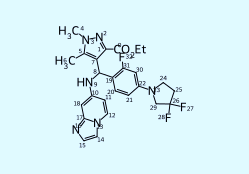 CCOC(=O)c1nn(C)c(C)c1C(Nc1ccn2ccnc2c1)c1ccc(N2CCC(F)(F)C2)cc1F